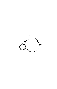 COc1cc(O)c2c(c1)/C=C/C[C@H](O)[C@H](O)C(=O)/C=C\CC(C)NC2=O